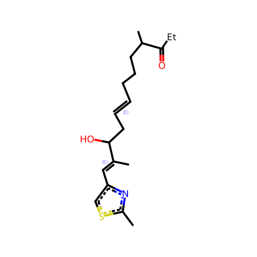 CCC(=O)C(C)CCC/C=C/CC(O)/C(C)=C/c1csc(C)n1